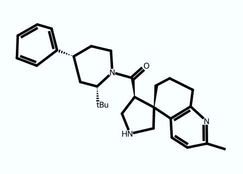 Cc1ccc2c(n1)CCC[C@]21CNC[C@H]1C(=O)N1CC[C@@H](c2ccccc2)C[C@H]1C(C)(C)C